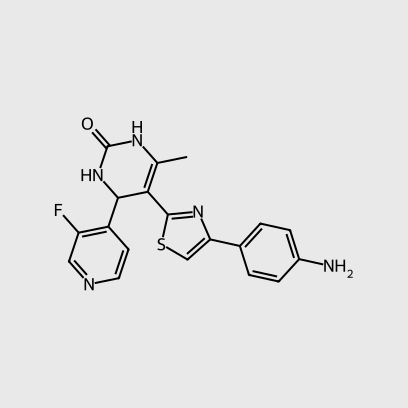 CC1=C(c2nc(-c3ccc(N)cc3)cs2)C(c2ccncc2F)NC(=O)N1